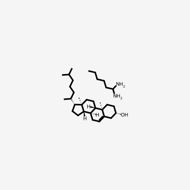 CC(C)CCCC(C)[C@H]1CC[C@H]2[C@@H]3CC=C4C[C@@H](O)CC[C@]4(C)[C@H]3CC[C@]12C.CCCCCC(N)N